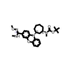 CN/C(=N\OC)c1ccc2c(c1)Oc1ccccc1N2[C@H]1CCCC[C@@H](N(C)C(=O)OC(C)(C)C)C1